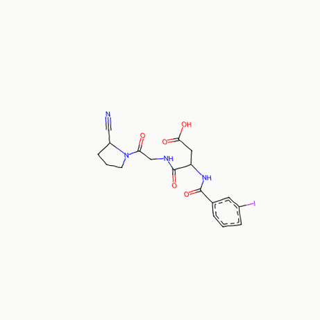 N#CC1CCCN1C(=O)CNC(=O)C(CC(=O)O)NC(=O)c1cccc(I)c1